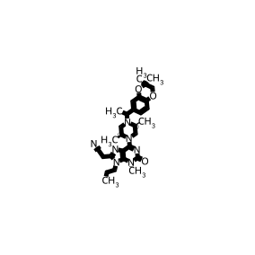 CCCn1c(CC#N)nc2c(N3C[C@@H](C)N(C(C)c4ccc5c(c4)OC(C)(C)CO5)C[C@@H]3C)nc(=O)n(C)c21